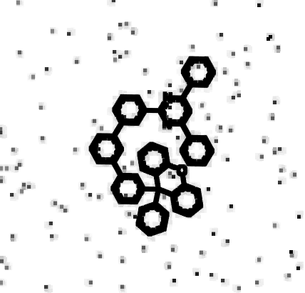 c1ccc(-c2cc(-c3ccccc3)nc(-c3cccc(-c4cccc(-c5cccc(C6(c7ccccc7)c7ccccc7Oc7ccccc76)c5)c4)c3)n2)cc1